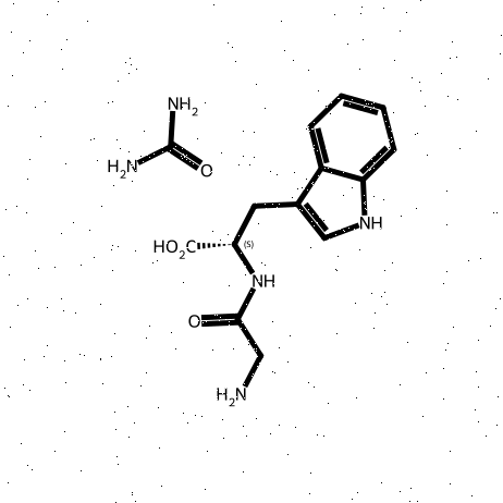 NC(N)=O.NCC(=O)N[C@@H](Cc1c[nH]c2ccccc12)C(=O)O